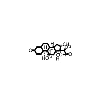 C[C@H]1C[C@H]2[C@@H]3CCC4=CC(=O)C=C[C@]4(C)[C@@]3(F)[C@@H](O)C[C@]2(C)[C@@]1(O)C(=O)C=O